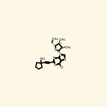 CC(=O)OC[C@H]1O[C@@H](n2cnc3c(Cl)nc(C#CC4(O)CCCC4)nc32)[C@H](OC(C)=O)[C@@H]1OC(C)=O